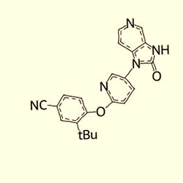 CC(C)(C)c1cc(C#N)ccc1Oc1ccc(-n2c(=O)[nH]c3cnccc32)cn1